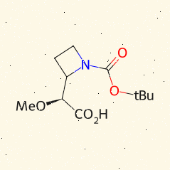 CO[C@H](C(=O)O)C1CCN1C(=O)OC(C)(C)C